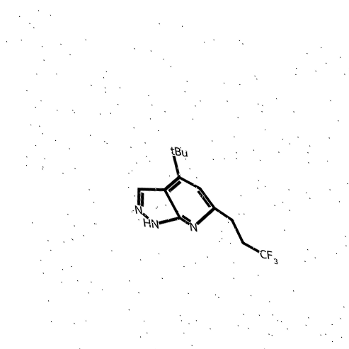 CC(C)(C)c1cc(CCC(F)(F)F)nc2[nH]ncc12